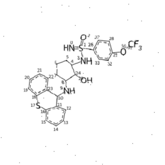 N=S(=O)(NC1CCCC(NC2c3ccccc3Sc3ccccc32)C1O)c1ccc(OC(F)(F)F)cc1